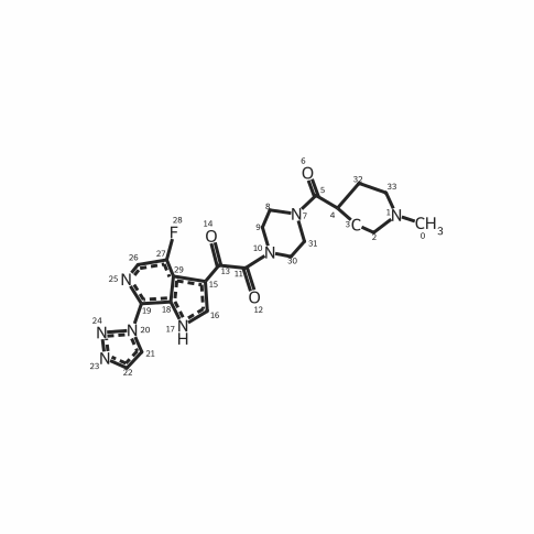 CN1CCC(C(=O)N2CCN(C(=O)C(=O)c3c[nH]c4c(-n5ccnn5)ncc(F)c34)CC2)CC1